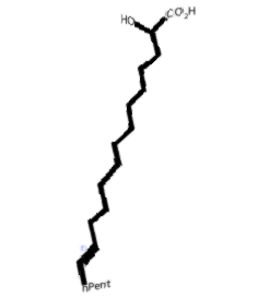 CCCCC/C=C/CCCCCCCCCCC(O)C(=O)O